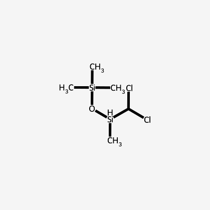 C[SiH](O[Si](C)(C)C)C(Cl)Cl